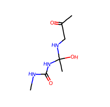 CNC(=O)NC(C)(O)NCC(C)=O